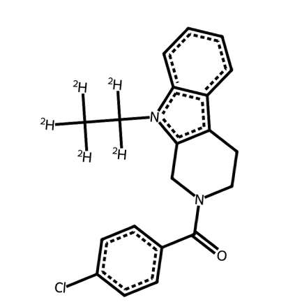 [2H]C([2H])([2H])C([2H])([2H])n1c2c(c3ccccc31)CCN(C(=O)c1ccc(Cl)cc1)C2